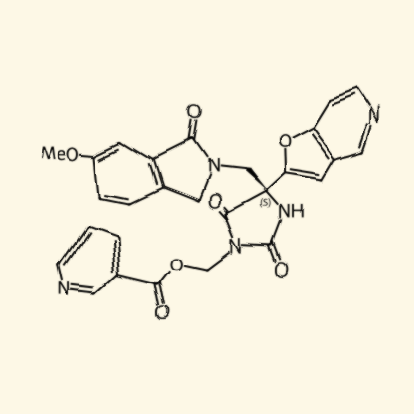 COc1ccc2c(c1)C(=O)N(C[C@@]1(c3cc4cnccc4o3)NC(=O)N(COC(=O)c3cccnc3)C1=O)C2